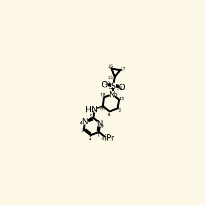 CC(C)c1ccnc(N[C@@H]2CCCN(S(=O)(=O)C3CC3)C2)n1